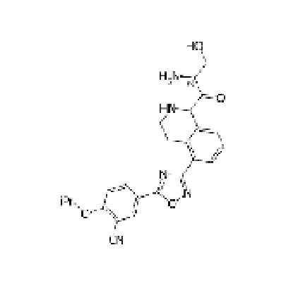 CC(C)Oc1ccc(-c2nc(-c3cccc4c3CCNC4C(=O)[C@@H](N)CO)no2)cc1C#N